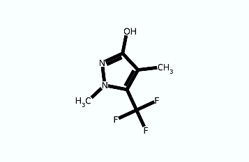 Cc1c(O)nn(C)c1C(F)(F)F